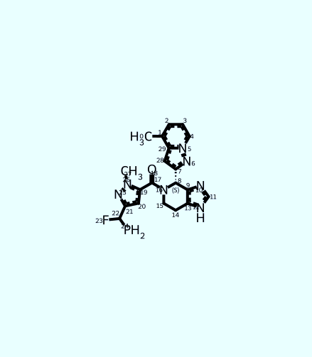 Cc1cccn2nc([C@@H]3c4nc[nH]c4CCN3C(=O)c3cc(C(F)P)nn3C)cc12